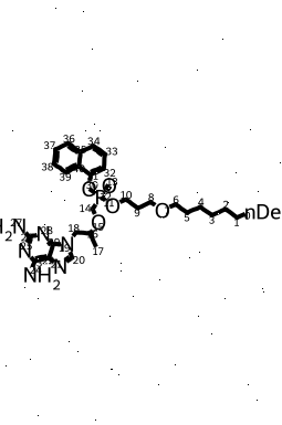 CCCCCCCCCCCCCCCCOCCCOP(=O)(COC(C)Cn1cnc2c(N)nc(N)nc21)Oc1cccc2ccccc12